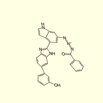 O=C(N=[N+]=Nc1cc(-c2nc3ccc(-c4cccc(O)c4)cc3[nH]2)c2cc[nH]c2c1)c1ccccc1